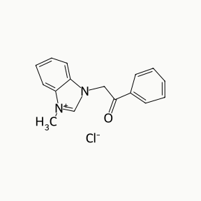 C[n+]1cn(CC(=O)c2ccccc2)c2ccccc21.[Cl-]